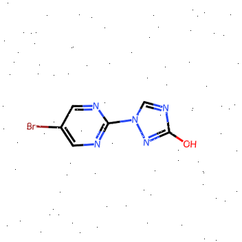 Oc1ncn(-c2ncc(Br)cn2)n1